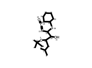 CC(C)CC(OC(C)(C)C)C(O)C(N=C=O)SC1CCCCC1